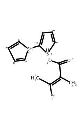 CCC(C)=C(C)C(=O)O[SH]1C=CC=C1[SH]1C=CC=C1